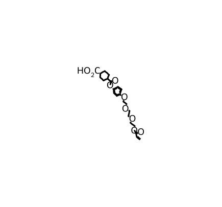 C=CC(=O)OCCOCCOCCOc1ccc(OC(=O)C2CCC(C(=O)O)CC2)cc1